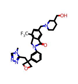 Cn1cnnc1CC1(c2cccc(N3Cc4c(cc(CN5CCCC(CO)C5)cc4C(F)(F)F)C3=O)c2)COC1